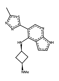 CN[C@H]1C[C@@H](Nc2c(-c3nnc(C)s3)cnc3[nH]ccc23)C1